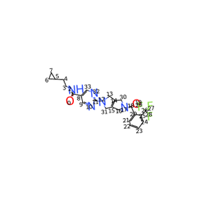 O=C(NCCC1CC1)c1cnc(N2CC3=C(CN(C(=O)c4ccccc4C(F)(F)F)C3)C2)nc1